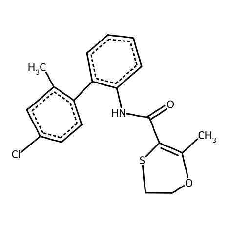 CC1=C(C(=O)Nc2ccccc2-c2ccc(Cl)cc2C)SCCO1